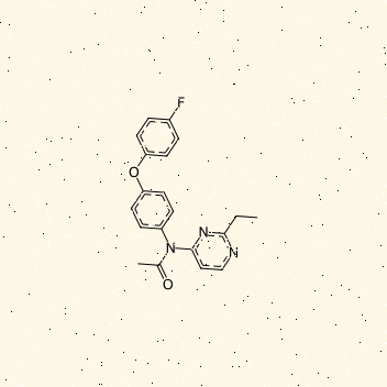 CCc1nccc(N(C(C)=O)c2ccc(Oc3ccc(F)cc3)cc2)n1